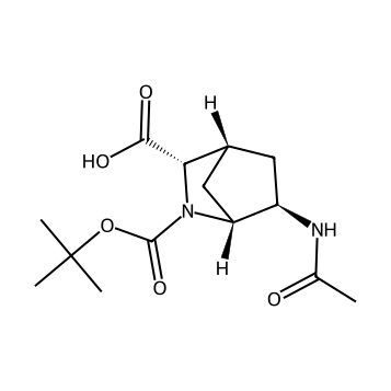 CC(=O)N[C@@H]1C[C@@H]2C[C@H]1N(C(=O)OC(C)(C)C)[C@@H]2C(=O)O